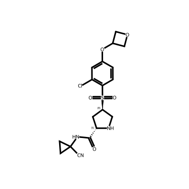 N#CC1(NC(=O)[C@@H]2C[C@@H](S(=O)(=O)c3ccc(OC4COC4)cc3Cl)CN2)CC1